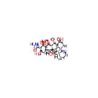 C[C@H]1c2c(-c3ccccn3)ccc(O)c2C(=O)C2=C(O)[C@]3(O)C(=O)C(C(N)=O)=C(O)C[C@@H]3[C@@H](O)[C@@H]21